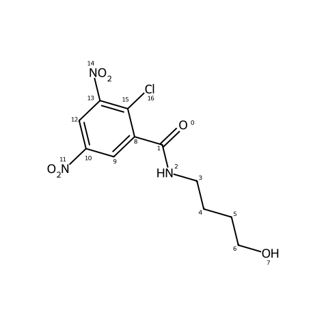 O=C(NCCCCO)c1cc([N+](=O)[O-])cc([N+](=O)[O-])c1Cl